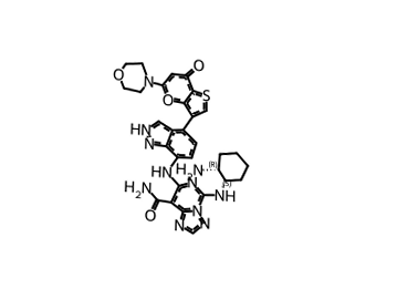 NC(=O)c1c(Nc2ccc(-c3csc4c(=O)cc(N5CCOCC5)oc34)c3c[nH]nc23)nc(N[C@H]2CCCC[C@H]2N)n2ncnc12